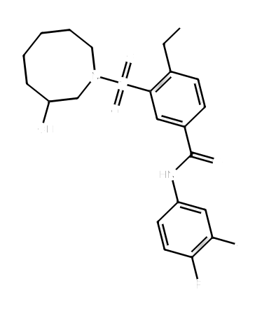 O=C(Nc1ccc(F)c(Cl)c1)c1ccc(CF)c(S(=O)(=O)N2CCCCCC(O)C2)c1